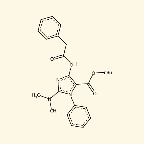 CCCCOC(=O)c1c(NC(=O)Cc2ccccc2)nc(N(C)C)n1-c1ccccc1